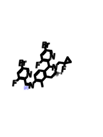 Cc1c(/N=C\c2ncc(Br)cc2F)ccc2c1C[C@@H](C)N(CC1(F)CC1)C2c1ncc(Br)cc1F